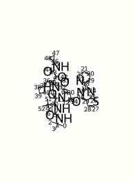 CC(C)(C)NC(=O)N[C@H](C(=O)N1C[C@H](Oc2nc(-c3ccccn3)nc3sccc23)C[C@H]1C(=O)N[C@@H](CC1CCC1)C(=O)C(=O)NC1CC1)C(C)(C)C